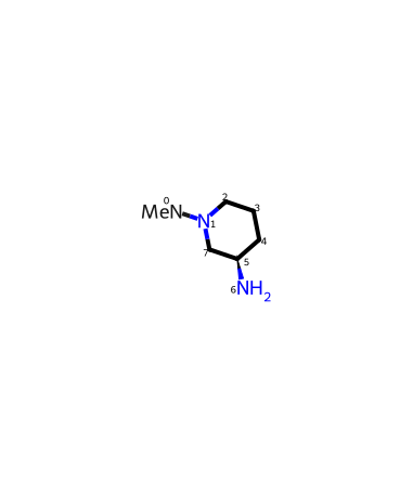 CNN1CCC[C@@H](N)C1